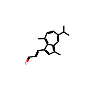 Cc1cc(C=CC=O)c2c(C)ccc(C(C)C)cc1-2